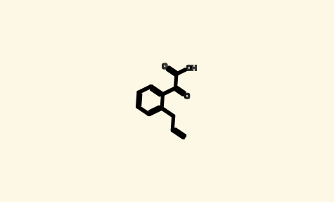 C=CCc1ccccc1C(=O)C(=O)O